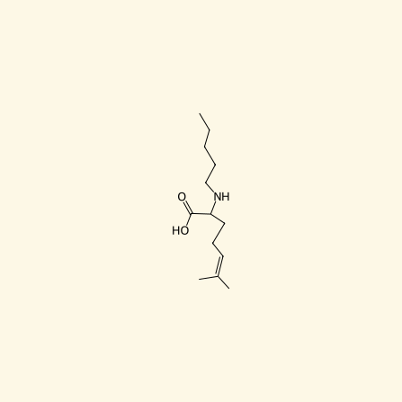 CCCCCNC(CCC=C(C)C)C(=O)O